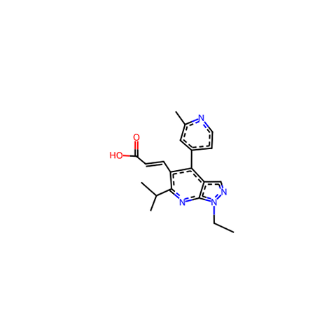 CCn1ncc2c(-c3ccnc(C)c3)c(C=CC(=O)O)c(C(C)C)nc21